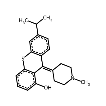 CC(C)c1ccc2c(c1)Sc1cccc(O)c1C2=C1CCN(C)CC1